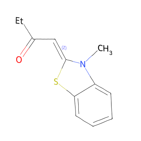 CCC(=O)/C=C1\Sc2ccccc2N1C